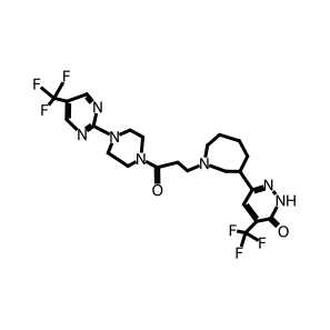 O=C(CCN1CCCCC(c2cc(C(F)(F)F)c(=O)[nH]n2)C1)N1CCN(c2ncc(C(F)(F)F)cn2)CC1